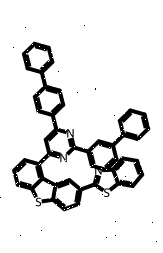 c1ccc(-c2ccc(-c3cc(-c4cccc5sc6ccc(-c7nc8ccccc8s7)cc6c45)nc(-c4cccc(-c5ccccc5)c4)n3)cc2)cc1